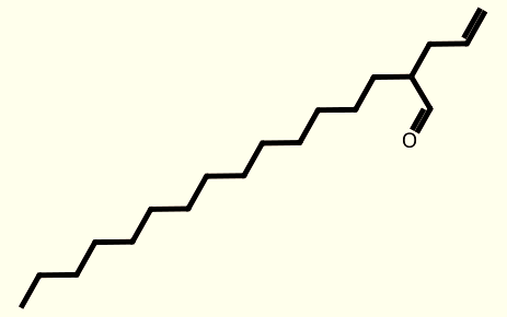 C=CCC(C=O)CCCCCCCCCCCCCC